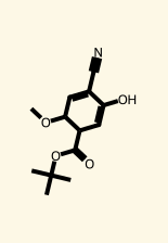 COC1C=C(C#N)C(O)=CC1C(=O)OC(C)(C)C